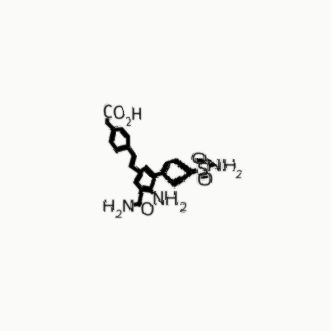 NC(=O)c1cc(C=Cc2ccc(CC(=O)O)cc2)cc(-c2ccc(S(N)(=O)=O)cc2)c1N